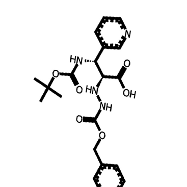 CC(C)(C)OC(=O)N[C@H](c1cccnc1)[C@H](NNC(=O)OCc1ccccc1)C(=O)O